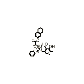 Cc1ncc(COP(=O)(N[C@@H](C)C(=O)Oc2ccc3c(c2)CCCC3)Oc2ccccc2)c(CO)c1O